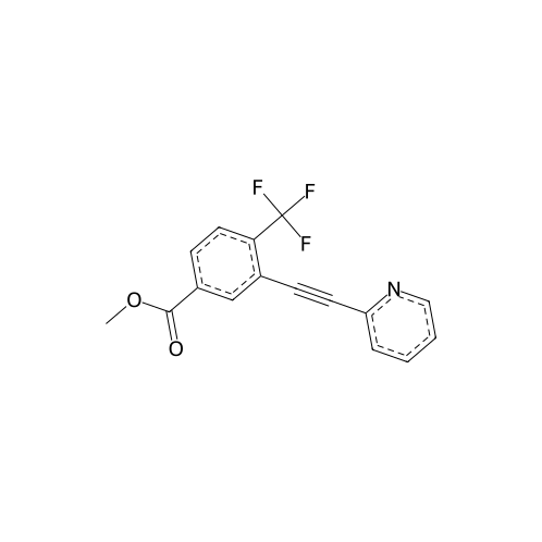 COC(=O)c1ccc(C(F)(F)F)c(C#Cc2ccccn2)c1